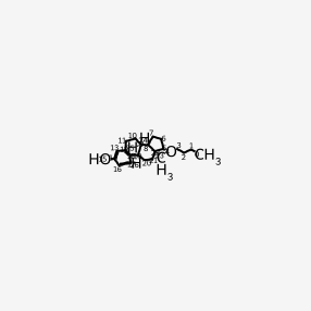 CCCCO[C@H]1CC[C@H]2[C@@H]3CCc4cc(O)ccc4[C@H]3CC[C@]12C